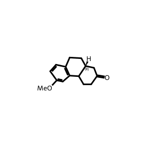 COc1ccc2c(c1)C1CCC(=O)C[C@H]1CC2